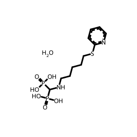 O.O=P(O)(O)C(NCCCCCSc1ccccn1)P(=O)(O)O